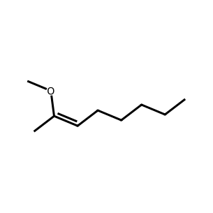 CCCCCC=C(C)OC